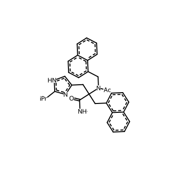 CC(=O)N(Cc1cccc2ccccc12)C(Cc1c[nH]c(C(C)C)n1)(Cc1cccc2ccccc12)C([NH])=O